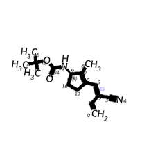 C=C/C(C#N)=C\C1=C(C)[C@H](NC(=O)OC(C)(C)C)CC1